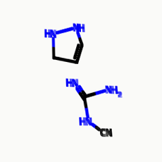 C1=CNNC1.N#CNC(=N)N